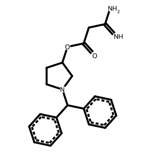 N=C(N)CC(=O)OC1CCN(C(c2ccccc2)c2ccccc2)C1